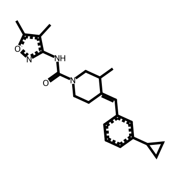 Cc1onc(NC(=O)N2CCC(=Cc3cccc(C4CC4)c3)C(C)C2)c1C